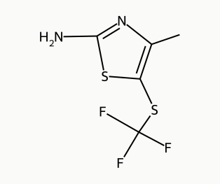 Cc1nc(N)sc1SC(F)(F)F